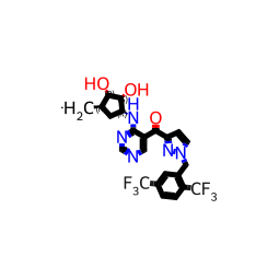 [CH2][C@@H]1C[C@@H](Nc2ncncc2C(=O)c2ccn(Cc3cc(C(F)(F)F)ccc3C(F)(F)F)n2)[C@H](O)[C@@H]1O